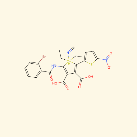 C=N[SH]1(CC)(CC)C(NC(=O)c2ccccc2Br)=C(C(=O)O)C(C(=O)O)=C1c1ccc([N+](=O)[O-])s1